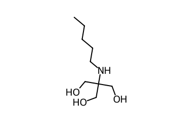 CCCCCNC(CO)(CO)CO